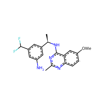 COc1[c]cc2nc(C)nc(N[C@H](C)c3cc(N)cc(C(F)F)c3)c2c1